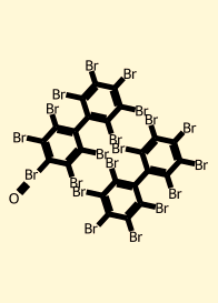 Brc1c(Br)c(Br)c(-c2c(Br)c(Br)c(Br)c(Br)c2Br)c(Br)c1Br.Brc1c(Br)c(Br)c(-c2c(Br)c(Br)c(Br)c(Br)c2Br)c(Br)c1Br.C=O